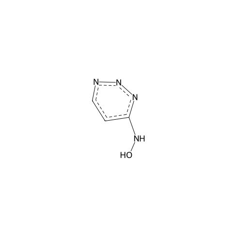 ONc1ccnnn1